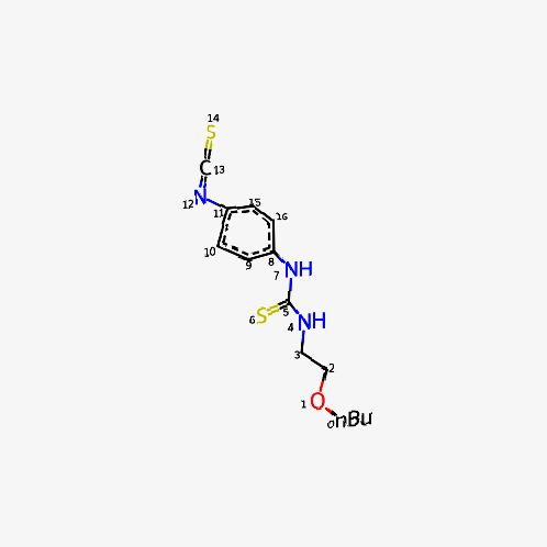 CCCCOCCNC(=S)Nc1ccc(N=C=S)cc1